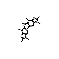 Cc1c2nc(C)n(C)c2cc2c3cc4c(nc(C)n4C)c(C)c3n(C)c12